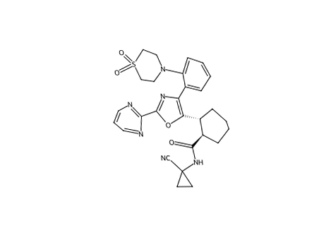 N#CC1(NC(=O)[C@@H]2CCCC[C@H]2c2oc(-c3ncccn3)nc2-c2ccccc2N2CCS(=O)(=O)CC2)CC1